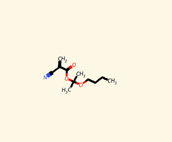 C=C(C#N)C(=O)OC(C)(C)OCCCC